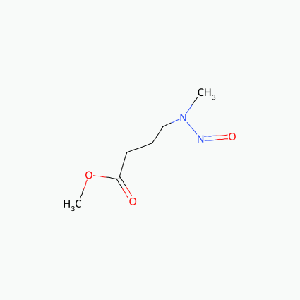 COC(=O)CCCN(C)N=O